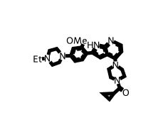 CCN1CCN(c2ccc(-c3cc4c(N5CCN(C(=O)C6CC6)CC5)ccnc4[nH]3)c(OC)c2)CC1